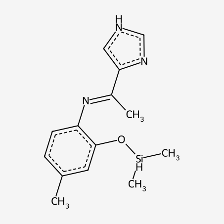 CC(=Nc1ccc(C)cc1O[SiH](C)C)c1c[nH]cn1